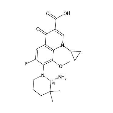 COc1c(N2CCCC(C)(C)[C@H]2N)c(F)cc2c(=O)c(C(=O)O)cn(C3CC3)c12